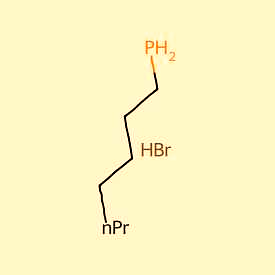 Br.CCCCCCCP